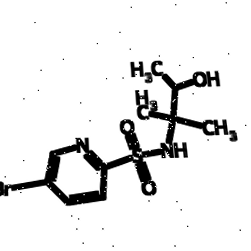 CC(O)C(C)(C)NS(=O)(=O)c1ccc(Br)cn1